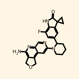 Nc1nc2cnc(N3CCCCC3c3cc(F)c4c(c3)C3(CC3)C(=O)N4)cc2c2c1COC2